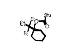 CCC(C)C(=O)OC1(C(CC)(CC)CC)CCCCC1